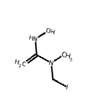 C=C(NO)N(C)CI